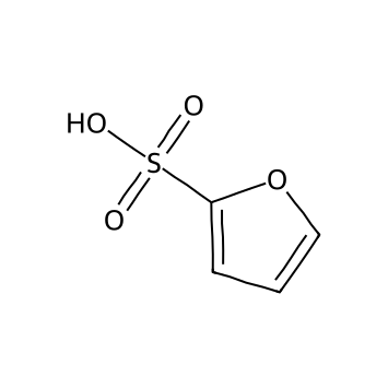 O=S(=O)(O)c1ccco1